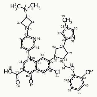 CN(C)C1CN(c2ccc(-n3cc(C(=O)O)c(=O)c4cc(Cl)c(N5CC(c6cn(C)cn6)C[C@@H]5COc5ncccc5Cl)cc43)cn2)C1